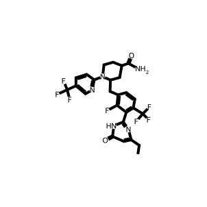 CCc1cc(=O)[nH]c(-c2c(C(F)(F)F)ccc(CC3CC(C(N)=O)CCN3c3ccc(C(F)(F)F)cn3)c2F)n1